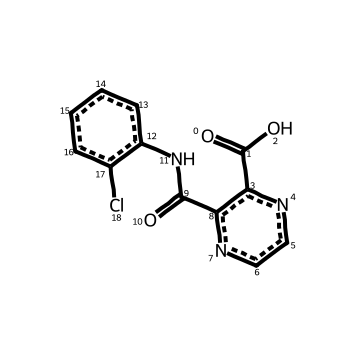 O=C(O)c1nccnc1C(=O)Nc1ccccc1Cl